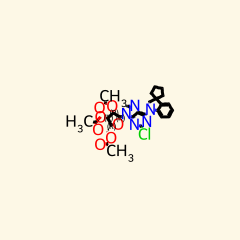 CC(=O)OC[C@H]1O[C@@H](n2cnc3c(N4CC5(CCCC5)c5ccccc54)nc(Cl)nc32)[C@H](OC(C)=O)[C@@H]1OC(C)=O